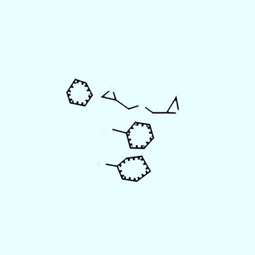 C(OCC1CO1)C1CO1.Oc1ccccc1.Oc1ccccc1.c1ccccc1